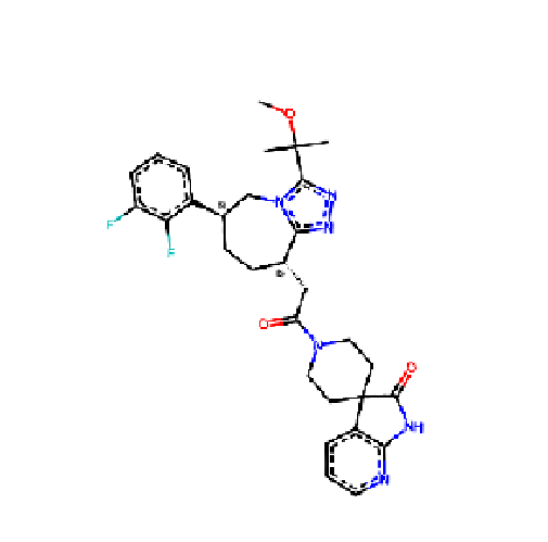 COC(C)(C)c1nnc2n1C[C@H](c1cccc(F)c1F)CC[C@H]2CC(=O)N1CCC2(CC1)C(=O)Nc1ncccc12